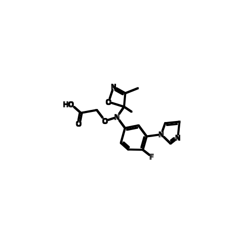 CC1=NOC1(C)N(OCC(=O)O)c1ccc(F)c(-n2ccnc2)c1